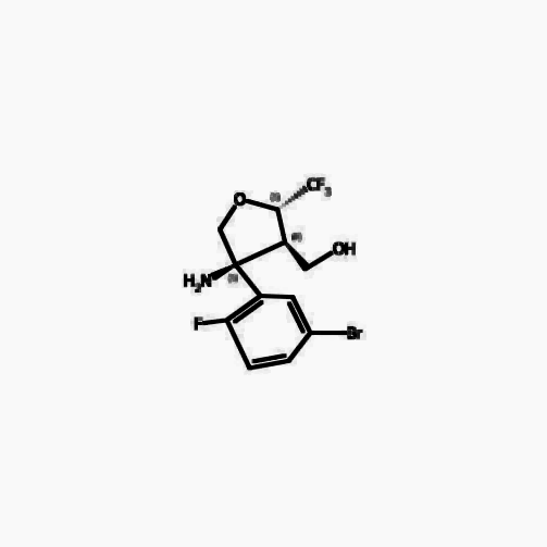 N[C@@]1(c2cc(Br)ccc2F)CO[C@H](C(F)(F)F)[C@H]1CO